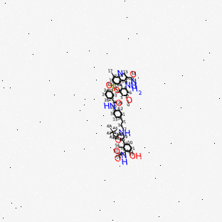 COc1cccc(Nc2c(C(N)=O)cnc3c(C)cc(S(=O)(=O)c4cccc(C(=O)Nc5ccc(CCCNC[C@H](O[Si](C)(C)C(C)(C)C)c6ccc(O)c7c6COC(=O)N7)cc5)c4)cc23)c1